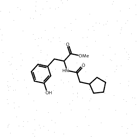 COC(=O)C(Cc1cccc(O)c1)NC(=O)CC1CCCC1